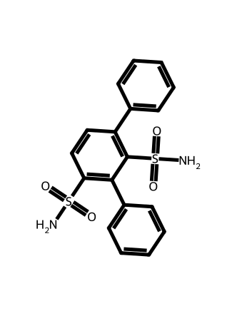 NS(=O)(=O)c1ccc(-c2ccccc2)c(S(N)(=O)=O)c1-c1ccccc1